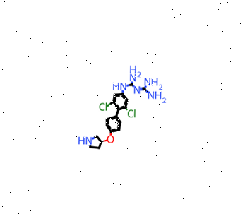 NC(N)=NC(N)Nc1cc(Cl)c(-c2ccc(O[C@H]3CCNC3)cc2)c(Cl)c1